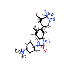 CCN(CC)[C@H]1CC[C@@H](n2c(=O)[nH]c3cc(-c4cc(C)c5ncnn5c4)c(C)cc32)CC1